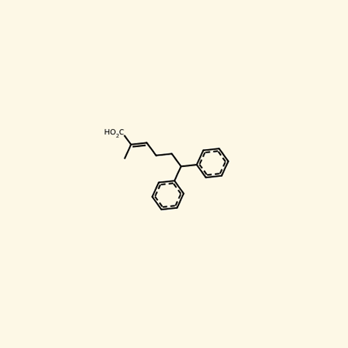 CC(=CCCC(c1ccccc1)c1ccccc1)C(=O)O